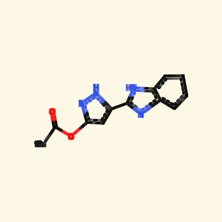 CC(C)(C)C(=O)Oc1cc(-c2nc3ccccc3[nH]2)[nH]n1